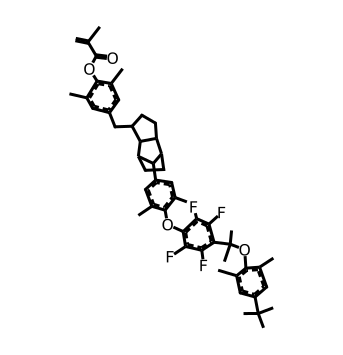 C=C(C)C(=O)Oc1c(C)cc(CC2CCC3C4CCC(C4c4cc(C)c(Oc5c(F)c(F)c(C(C)(C)Oc6c(C)cc(C(C)(C)C)cc6C)c(F)c5F)c(C)c4)C23)cc1C